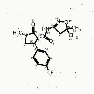 CN1C[C@H](c2ccc(C(F)(F)F)cc2)[C@@H](C(=O)NC2=NOC(C)(C)C2)C1=O